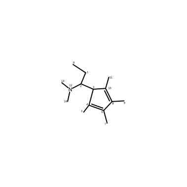 CCC(C1C(C)=C(C)C(C)=C1C)N(C)C